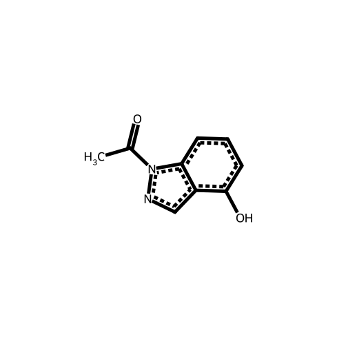 CC(=O)n1ncc2c(O)cccc21